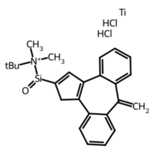 C=C1c2ccccc2C2=C(CC([Si](=O)[N+](C)(C)C(C)(C)C)=C2)c2ccccc21.Cl.Cl.[Ti]